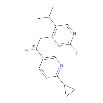 CC(C)c1cnc(F)nc1C[C@@H](C)c1cnc(C2CC2)nc1